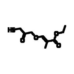 CCOC(=O)C(C)=COCC(=O)CS